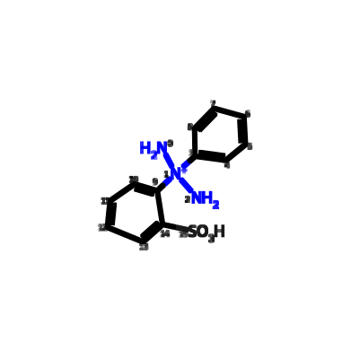 N[N+](N)(c1ccccc1)c1ccccc1S(=O)(=O)O